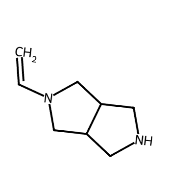 C=CN1CC2CNCC2C1